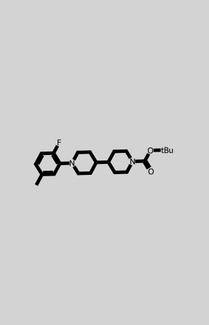 Cc1ccc(F)c(N2CCC(C3CCN(C(=O)OC(C)(C)C)CC3)CC2)c1